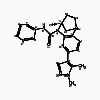 Cc1c(-c2ccc3c(n2)N(C(=O)Nc2cccnc2)[C@H]2CCN3C2)cnn1C